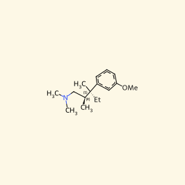 CC[C@](C)(c1cccc(OC)c1)[C@@H](C)CN(C)C